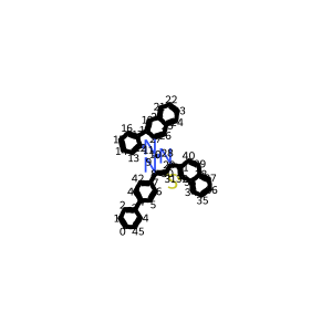 c1ccc(-c2ccc(-c3nc(-n4c5ccccc5c5cc6ccccc6cc54)nc4c3sc3c5ccccc5ccc43)cc2)cc1